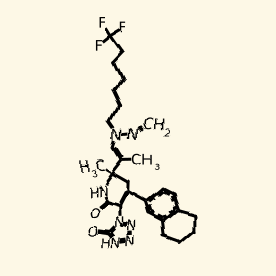 C=NN(/C=C(\C)[C@]1(C)CC(c2ccc3c(c2)CCCC3)=C(n2nn[nH]c2=O)C(=O)N1)CCCCCCC(F)(F)F